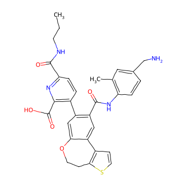 CCCNC(=O)c1ccc(-c2cc3c(cc2C(=O)Nc2ccc(CN)cc2C)-c2ccsc2CCO3)c(C(=O)O)n1